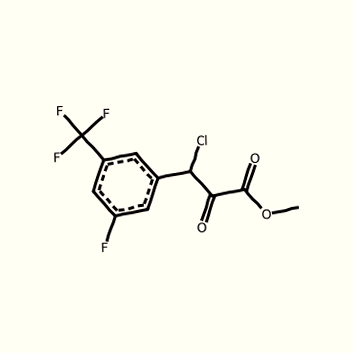 COC(=O)C(=O)C(Cl)c1cc(F)cc(C(F)(F)F)c1